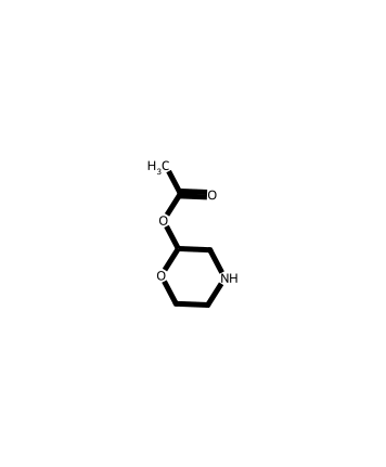 CC(=O)OC1CNCCO1